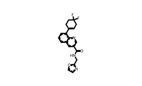 O=C(NCc1ncco1)c1cnc2c(C3=CCC(F)(F)CC3)cccc2c1